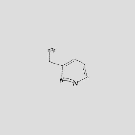 CCCCc1cc[c]nn1